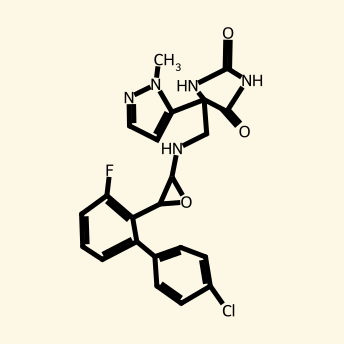 Cn1nccc1C1(CNC2OC2c2c(F)cccc2-c2ccc(Cl)cc2)NC(=O)NC1=O